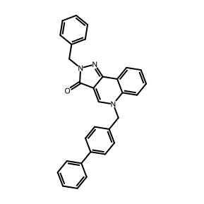 O=c1c2cn(Cc3ccc(-c4ccccc4)cc3)c3ccccc3c-2nn1Cc1ccccc1